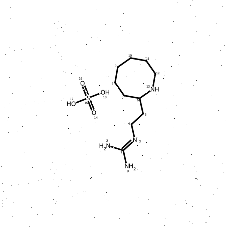 NC(N)=NCCC1CCCCCCN1.O=S(=O)(O)O